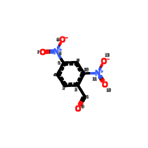 O=[C]c1ccc([N+](=O)[O-])cc1[N+](=O)[O-]